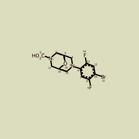 O=C(O)N1CC2CN(c3cc(F)c(Br)cc3F)CC(C1)O2